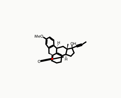 CC#C[C@]1(O)CC[C@H]2C3=C4[C@H](C[C@@]21C)c1ccc(OC)cc1C[C@@]41CCC(=O)C=C1CC3